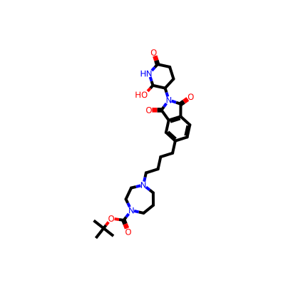 CC(C)(C)OC(=O)N1CCCN(CCCCc2ccc3c(c2)C(=O)N(C2CCC(=O)NC2O)C3=O)CC1